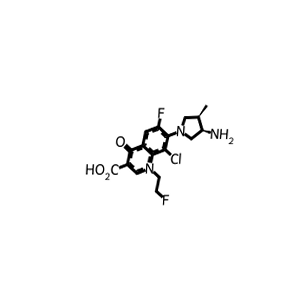 C[C@@H]1CN(c2c(F)cc3c(=O)c(C(=O)O)cn(CCF)c3c2Cl)C[C@@H]1N